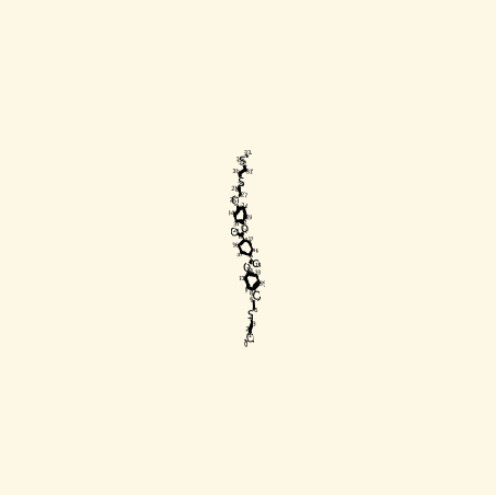 COCCSCCOc1ccc(OC(=O)[C@H]2CC[C@H](C(=O)Oc3ccc(OCCSCCSC)cc3)CC2)cc1